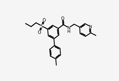 CCCS(=O)(=O)c1cc(C(=O)NCc2ccc(C)nc2)cc(-c2ccc(C)cc2)c1